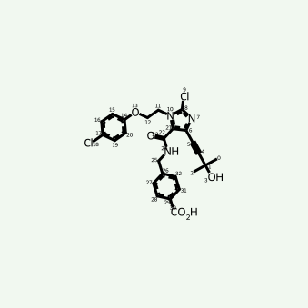 CC(C)(O)C#Cc1nc(Cl)n(CCOc2ccc(Cl)cc2)c1C(=O)NCc1ccc(C(=O)O)cc1